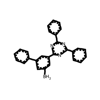 Bc1cc(-c2ccccc2)cc(-c2nc(-c3ccccc3)nc(-c3ccccc3)n2)c1